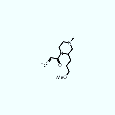 C=CC(=O)N1CCN(I)CC1CCCOC